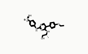 CCOc1ccc(-c2cnc(Nc3ccc([SH](=N)=O)cc3)nc2N[C@H](C)CO)cc1